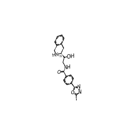 Cc1nnc(-c2ccc(C(=O)NCC(O)[C@@H]3Cc4ccccc4CN3)cc2)o1